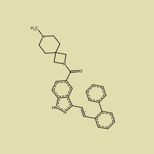 CN1CCC2(CC1)CN(C(=O)c1ccc3[nH]nc(/C=C/c4ccccc4-c4ccccc4)c3c1)C2